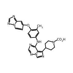 Cc1cc(Nc2ncnn3cnc(C4CCN(C(=O)O)CC4)c23)ccc1Oc1ccn2ncnc2c1